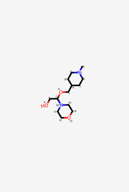 CN1CCC(COC(CO)N2CCOCC2)CC1